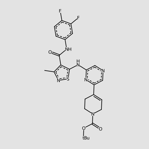 Cc1nsc(Nc2cncc(C3=CCN(C(=O)OC(C)(C)C)CC3)n2)c1C(=O)Nc1ccc(F)c(F)c1